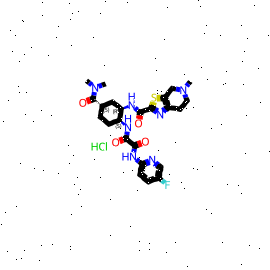 CN1CCc2nc(C(=O)N[C@@H]3C[C@@H](C(=O)N(C)C)CC[C@@H]3NC(=O)C(=O)Nc3ccc(F)cn3)sc2C1.Cl